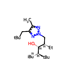 CC[C@@H](Cn1nc(C)c(CC(C)(C)C)n1)[C@@H](O)[C@H]([C@@H](C)CC)C(C)(C)C